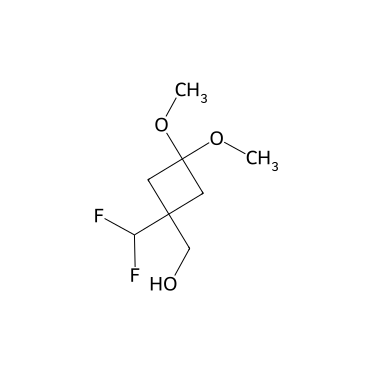 COC1(OC)CC(CO)(C(F)F)C1